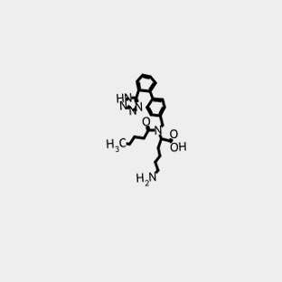 CCCCC(=O)N(Cc1ccc(-c2ccccc2-c2nnn[nH]2)cc1)C(CCCCN)C(=O)O